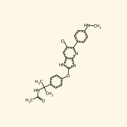 CNc1ccc(-c2nc3nc(Oc4ccc(C(C)(C)NC(C)=O)cc4)[nH]c3cc2Cl)cc1